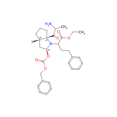 CCOC(=O)C(CCc1ccccc1)N1[C@@H](OC(=O)OCc2ccccc2)C[C@@H]2CCC[C@@]21C(=O)C(C)N